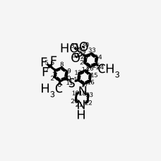 Cc1cc(C(F)(F)F)ccc1Sc1ccccc1N1CCNCC1.Cc1ccc(S(=O)(=O)O)cc1